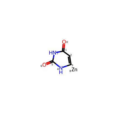 O=c1cc[nH]c(=O)[nH]1.[Zn]